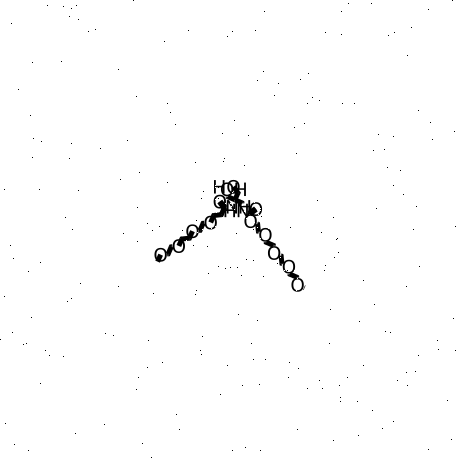 COCCOCCOCCOCCOC(=O)NCC(CO)(CO)NC(=O)CCOCCOCCOCCOC